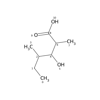 CCC(C)C(O)C(C)C(=O)O